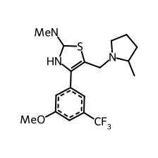 CNC1NC(c2cc(OC)cc(C(F)(F)F)c2)=C(CN2CCCC2C)S1